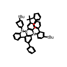 CC(C)(C)c1ccc(N2B3c4cc5c(cc4N(c4ccc(C(C)(C)C)cc4-c4ccccc4)c4cc(-c6ccccc6)cc(c43)-c3ccccc32)-c2ccccc2C5(C)C)cc1